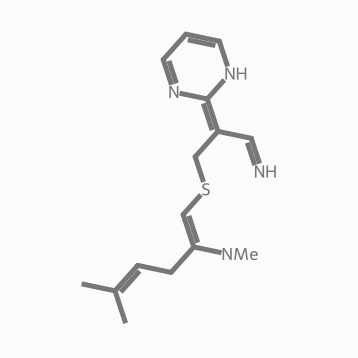 CN/C(=C\SC/C(C=N)=C1\N=CC=CN1)CC=C(C)C